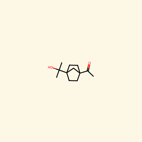 CC(=O)C12CCC(C(C)(C)O)(CC1)C2